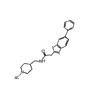 N#CN1CCC(CNC(=O)Cc2nc3ccc(-c4ccccc4)cc3s2)CC1